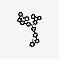 c1ccc(-c2ccccc2-n2c3ccccc3c3ccccc32)c(-c2ccc(N(c3ccc(-c4ccc(-c5cccc6c5oc5ccccc56)cc4)cc3)c3ccc4c5ccccc5c5ccccc5c4c3)cc2)c1